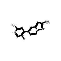 Cc1cc(-c2ccn3nc(N)cc3c2)c(F)cn1